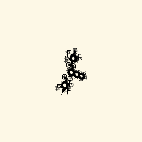 O=C(Oc1ccc(OC(=O)c2cc(F)c(F)c(F)c2F)c2cc3ccccc3cc12)c1cc(F)c(F)c(F)c1F